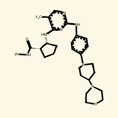 CC(C)NC(=O)[C@H]1CCC[C@H]1Nc1nc(Nc2ccc(N3CCC(N4CCOCC4)CC3)cc2)ncc1C(F)(F)F